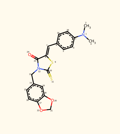 CN(C)c1ccc(C=C2SC(=S)N(Cc3ccc4c(c3)OCO4)C2=O)cc1